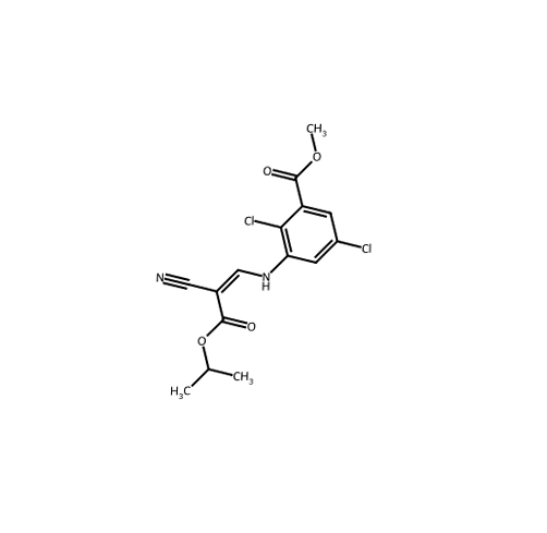 COC(=O)c1cc(Cl)cc(NC=C(C#N)C(=O)OC(C)C)c1Cl